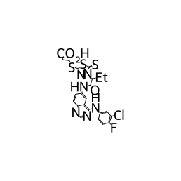 CCC(C(=O)Nc1ccc2ncnc(Nc3ccc(F)c(Cl)c3)c2c1)n1nc(SCCC(=O)O)sc1=S